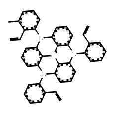 C=Cc1ccccc1N1c2cccc3c2P2(=S)c4c1cccc4N(c1cccc(C)c1C=C)c1cccc(c12)N3c1ccccc1C=C